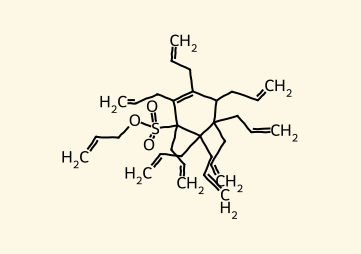 C=CCOS(=O)(=O)C1(CC=C)C(CC=C)=C(CC=C)C(CC=C)C(CC=C)(CC=C)C1(CC=C)CC=C